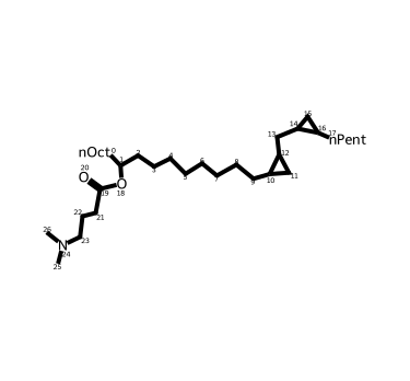 CCCCCCCCC(CCCCCCCCC1CC1CC1CC1CCCCC)OC(=O)CCCN(C)C